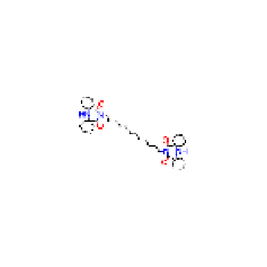 O=C1N(CCCCCCCCCCCCN2C(=O)C3(CCCCC3)NC3(CCCCC3)C2=O)C(=O)C2(CCCCC2)NC12CCCCC2